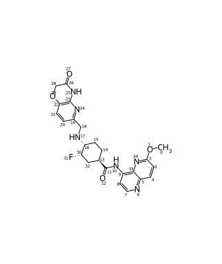 COc1ccc2nccc(NC(=O)[C@@H]3CC[C@@H](NCc4ccc5c(n4)NC(=O)CO5)[C@@H](F)C3)c2n1